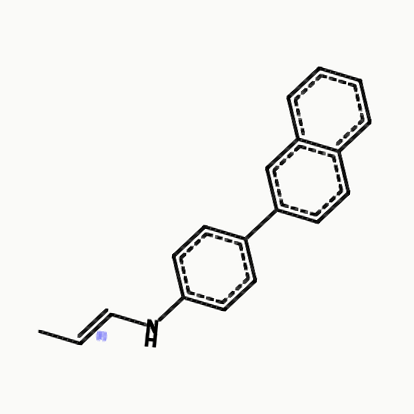 C/C=C/Nc1ccc(-c2ccc3ccccc3c2)cc1